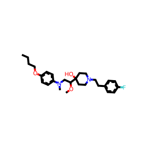 CCCCOc1ccc(N(C)CC(OC)C2(O)CCN(CCc3ccc(F)cc3)CC2)cc1